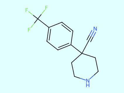 N#CC1(c2ccc(C(F)(F)F)cc2)CCNCC1